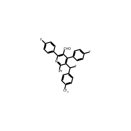 CC(C)c1nc(-c2ccc(F)cc2)c(C=O)c(-c2ccc(F)cc2)c1C(F)c1ccc(C(F)(F)F)cc1